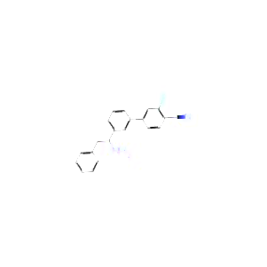 N#Cc1ccc(-c2cccc(C(N)Cc3ccccc3)c2)cc1F